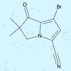 CC1(C)Cn2c(C#N)cc(Br)c2C1=O